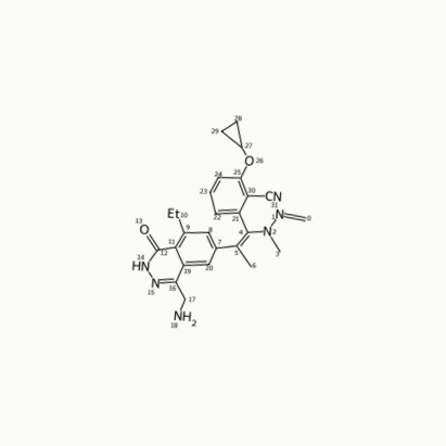 C=NN(C)/C(=C(\C)c1cc(CC)c2c(=O)[nH]nc(CN)c2c1)c1cccc(OC2CC2)c1C#N